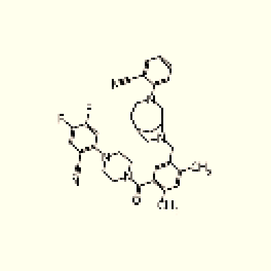 Cc1cc(C)c(C(=O)N2CCN(c3cc(F)c(F)cc3C#N)CC2)cc1CN1CC2CCN(c3ccccc3C#N)CC1C2